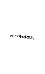 CCCCCCc1ccc2cc(-c3ccc(-c4ccc(C(F)(F)F)cc4)c(F)c3)ccc2c1